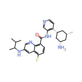 CC(C)C(C)Nc1cnc2c(C(=O)Nc3cnccc3[C@@H]3C[C@H](C)C[C@H](N)C3)ccc(F)c2c1